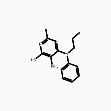 CCCN(c1ccccc1)c1nc(C)nc(S)c1N